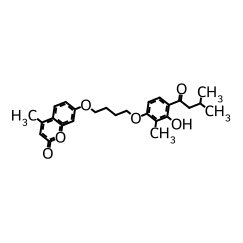 Cc1c(OCCCCOc2ccc3c(C)cc(=O)oc3c2)ccc(C(=O)CC(C)C)c1O